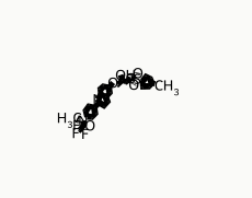 Cc1ccc(S(=O)(=O)OCC(O)COc2ccc3nc(-c4ccc(N(C)C(=O)C(F)(F)F)cc4)ccc3c2)cc1